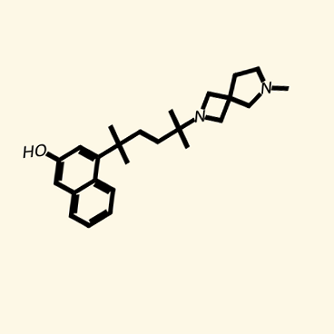 CN1CCC2(C1)CN(C(C)(C)CCC(C)(C)c1cc(O)cc3ccccc13)C2